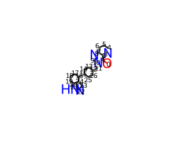 O=c1c2ncccc2ncn1Cc1ccc(-c2cccc3[nH]ncc23)cc1